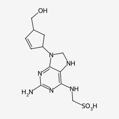 Nc1nc(NCS(=O)(=O)O)c2c(n1)N(C1C=CC(CO)C1)CN2